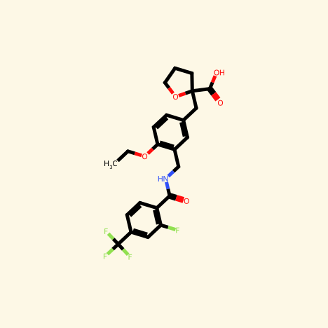 CCOc1ccc(CC2(C(=O)O)CCCO2)cc1CNC(=O)c1ccc(C(F)(F)F)cc1F